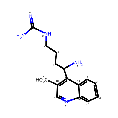 N=C(N)NCCCC(N)c1c(C(=O)O)cnc2ccccc12